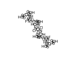 CCC(Nc1nc(F)nc(Nc2cc(S(=O)(=O)O)ccc2S(=O)(=O)O)n1)Nc1ccc2c(c1S(=O)(=O)O)Oc1c(Cl)c3c(c(Cl)c1=N2)Oc1c(ccc(NC(CC)Nc2nc(F)nc(Nc4cc(S(=O)(=O)O)ccc4S(=O)(=O)O)n2)c1S(=O)(=O)O)N=3